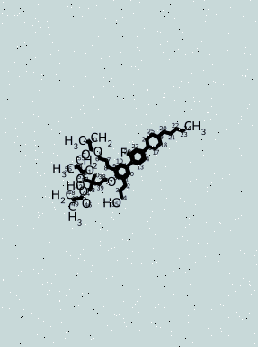 C=C(C)C(=O)OCCCc1cc(-c2ccc(C3CCC(CCCCC)CC3)cc2F)cc(CCCO)c1OCCC(CO)(COC(=O)C(=C)C)COC(=O)C(=C)C